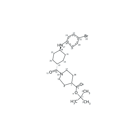 CC(C)(C)OC(=O)C1CCN(C(=O)[C@H]2CC[C@H](Nc3ccc(Br)cc3)CC2)CC1